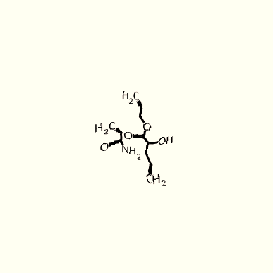 C=CC(N)=O.C=CCOC(=O)C(O)CC=C